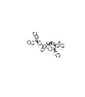 CC1(C)c2cc(N(c3ccc4ccccc4c3)c3ccc4sc5ccccc5c4c3)ccc2-c2c1cc(-c1ccc(N(c3ccc4ccccc4c3)c3ccc4ccccc4c3)cc1)c1ccccc21